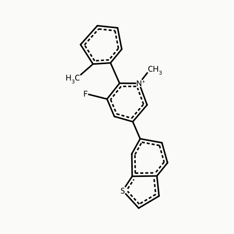 Cc1ccccc1-c1c(F)cc(-c2ccc3ccsc3c2)c[n+]1C